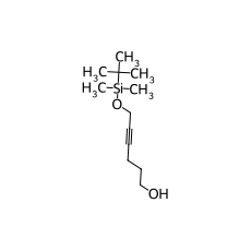 CC(C)(C)[Si](C)(C)OCC#CCCCO